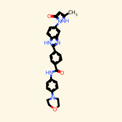 Cc1cc(=O)n(-c2ccc3[nH]c(-c4ccc(C(=O)Nc5ccc(N6CCOCC6)cc5)cc4)nc3c2)[nH]1